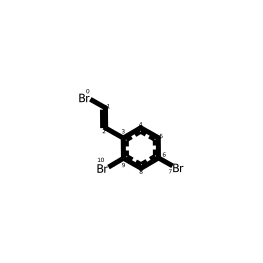 BrC=Cc1ccc(Br)cc1Br